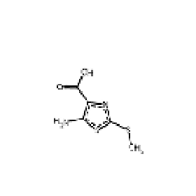 CSc1nc(C(=O)O)c(N)s1